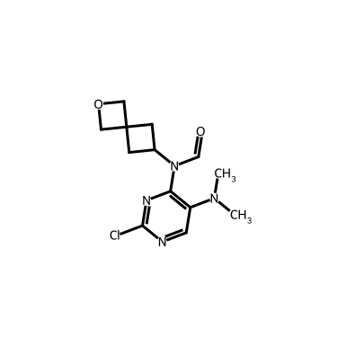 CN(C)c1cnc(Cl)nc1N(C=O)C1CC2(COC2)C1